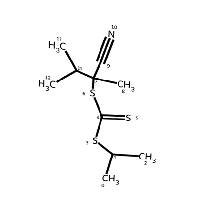 CC(C)SC(=S)SC(C)(C#N)C(C)C